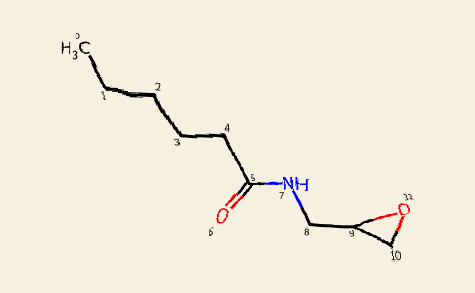 CCCCCC(=O)NCC1CO1